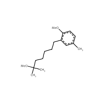 COc1ccc(C)cc1CCCCCC(C)(C)OC